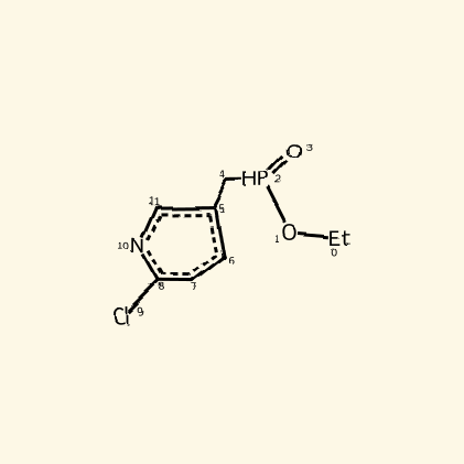 CCO[PH](=O)Cc1ccc(Cl)nc1